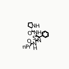 CCCC(=O)Nc1nc(-c2ccccc2)c(NC(=O)[C@@H]2CCCN2)s1